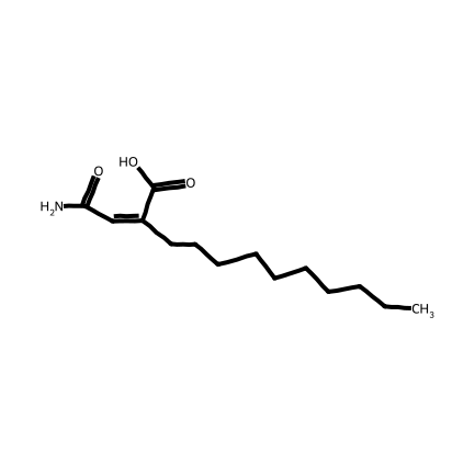 CCCCCCCCCCC(=CC(N)=O)C(=O)O